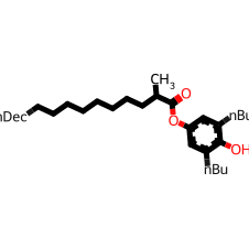 CCCCCCCCCCCCCCCCCCC(C)C(=O)Oc1cc(CCCC)c(O)c(CCCC)c1